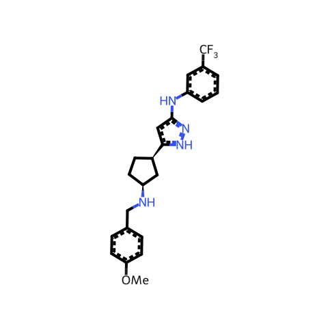 COc1ccc(CN[C@H]2CC[C@@H](c3cc(Nc4cccc(C(F)(F)F)c4)n[nH]3)C2)cc1